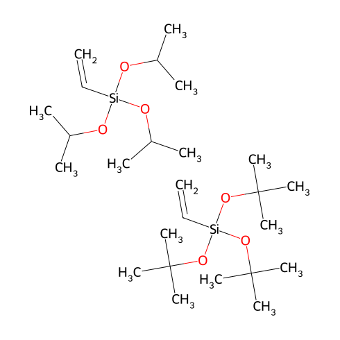 C=C[Si](OC(C)(C)C)(OC(C)(C)C)OC(C)(C)C.C=C[Si](OC(C)C)(OC(C)C)OC(C)C